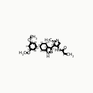 C=CC(=O)Nc1cnn(C)c1-c1n[nH]c2c1CC[C@@H](c1cc(OC)cc(OC)c1)C2